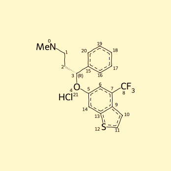 CNCC[C@@H](Oc1cc(C(F)(F)F)c2ccsc2c1)c1ccccc1.Cl